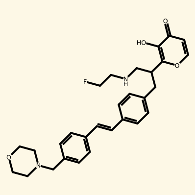 O=c1ccoc(C(CNCCF)Cc2ccc(C=Cc3ccc(CN4CCOCC4)cc3)cc2)c1O